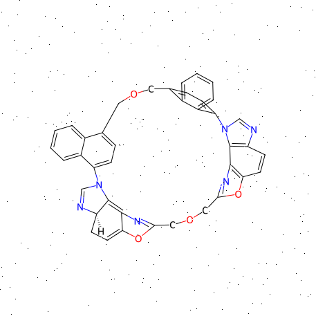 C1=N[C@@H]2CC=c3oc4nc3=C2N1c1ccc(c2ccccc12)COCc1ccc(c2ccccc12)-n1cnc2ccc3oc(nc3c21)COC4